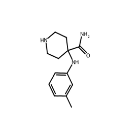 Cc1cccc(NC2(C(N)=O)CCNCC2)c1